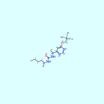 CCCCC(C)NC(=O)NC(C)c1cc(OCC(F)(F)F)ncn1